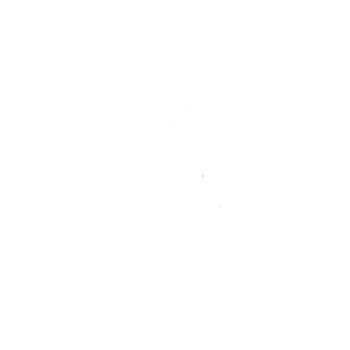 Cc1cc(C)c(C)c([Si](C)(Cl)c2ccccc2)c1